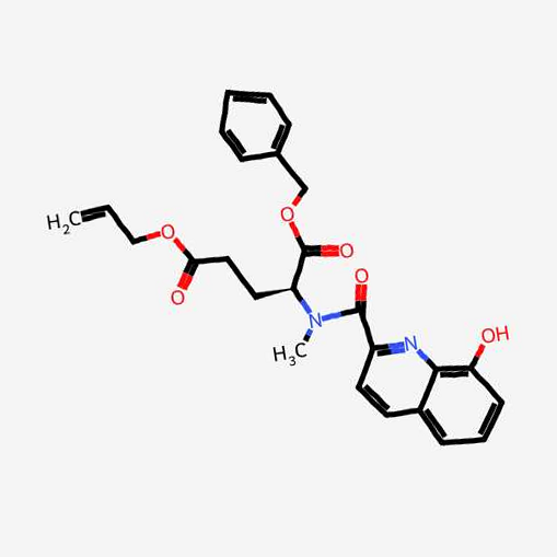 C=CCOC(=O)CC[C@@H](C(=O)OCc1ccccc1)N(C)C(=O)c1ccc2cccc(O)c2n1